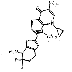 COc1c(-c2cc3c(s2)C(N)C(F)(F)CC3)ccc2c(=O)c(C(=O)O)cn(C3CC3)c12